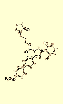 O=C(OCCCN1CCCC1=O)[C@H]1CC(c2c(F)cccc2F)=N[C@H]1c1ccc(-c2ccc(OC(F)(F)F)cc2)cc1